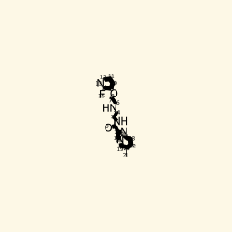 O=C(NCCNCCOc1cccnc1F)c1cn2cc(I)ccc2n1